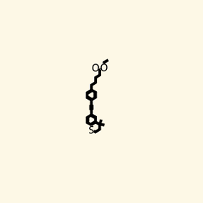 CCOC(=O)CCCCc1ccc(C#Cc2ccc3c(c2)C(C)(C)CCS3)cc1